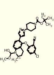 COC(O)N1c2ccc(-c3cnn(C4CCN(C(=O)OC(C)(C)C)CC4)c3)c(Oc3ccc(Cl)cc3C#N)c2CC[C@@H]1C